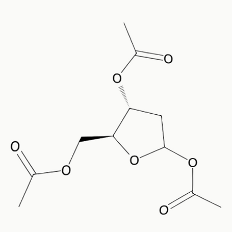 CC(=O)OC[C@@H]1OC(OC(C)=O)C[C@H]1OC(C)=O